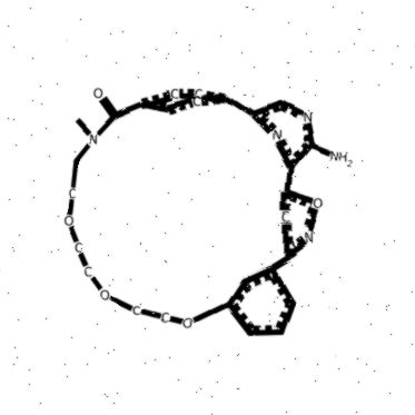 CN1CCOCCOCCOc2cccc(c2)-c2cc(on2)-c2nc(cnc2N)-c2ccc(cc2)C1=O